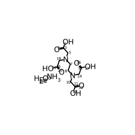 N.O.O=C(O)CN(CCN(CC(=O)O)CC(=O)O)CC(=O)O.[Fe]